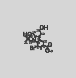 COC(=O)c1cc(Br)c2c(c1)C(CCO)C(CO)N2CC(C)(C)C